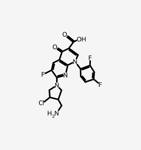 NCC1CN(c2nc3c(cc2F)c(=O)c(C(=O)O)cn3-c2ccc(F)cc2F)CC1Cl